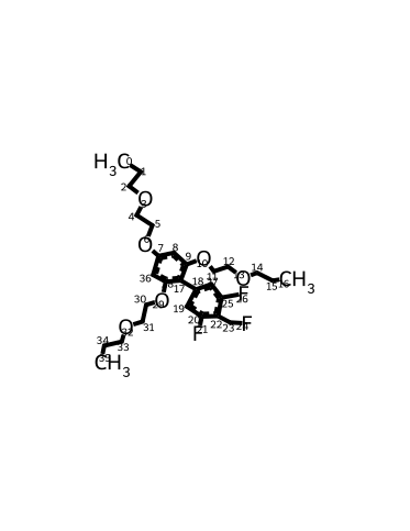 CCCOCCOc1cc(OCCOCCC)c(-c2cc(F)c(CF)c(F)c2)c(OCCOCCC)c1